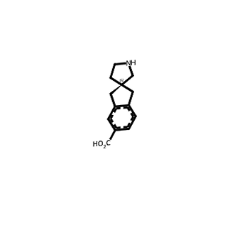 O=C(O)c1ccc2c(c1)C[C@]1(CCNC1)C2